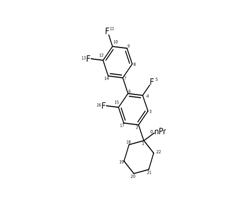 CCCC1(c2cc(F)c(-c3ccc(F)c(F)c3)c(F)c2)CCCCC1